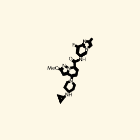 COc1cc2c(N3CCC(NC4CC4)CC3)ccc(C(=O)Nc3cc(F)c4nc(C)cn4c3)n2n1